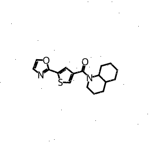 O=C(c1csc(-c2ncco2)c1)N1CCCC2CCCCC21